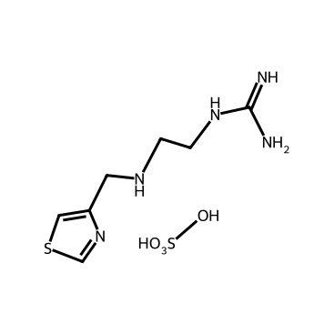 N=C(N)NCCNCc1cscn1.O=S(=O)(O)O